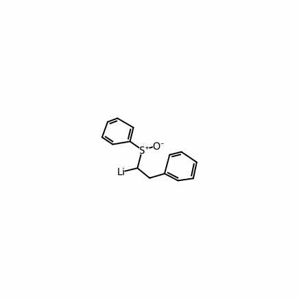 [Li][CH](Cc1ccccc1)[S+]([O-])c1ccccc1